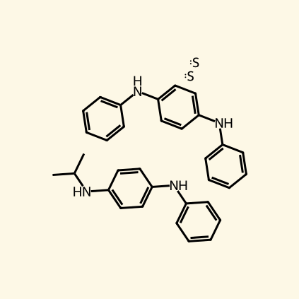 CC(C)Nc1ccc(Nc2ccccc2)cc1.[S].[S].c1ccc(Nc2ccc(Nc3ccccc3)cc2)cc1